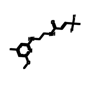 COc1cc(C)cc(NCCNC(=O)C=CC(C)(F)F)n1